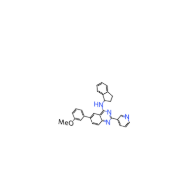 COc1cccc(-c2ccc3nc(-c4cccnc4)nc(NC4CCc5ccccc54)c3c2)c1